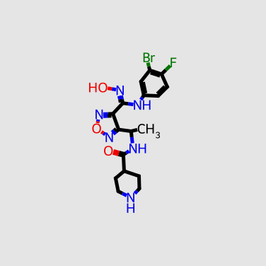 CC(NC(=O)C1CCNCC1)c1nonc1/C(=N\O)Nc1ccc(F)c(Br)c1